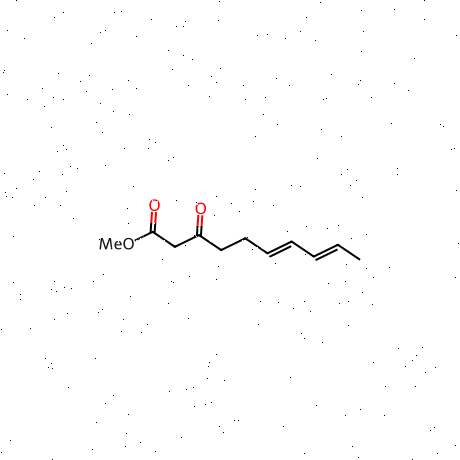 CC=CC=CCCC(=O)CC(=O)OC